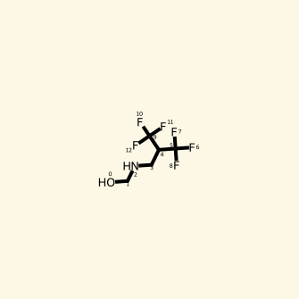 OCNCC(C(F)(F)F)C(F)(F)F